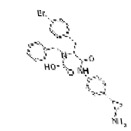 N[C@@H]1C[C@H]1c1ccc(NC(=O)C(Cc2ccc(Br)cc2)N(Cc2ccccc2)C(=O)O)cc1